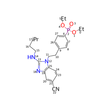 CCOP(=O)(OCC)c1ccc(CCn2c(NCCC(C)C)nc3cc(C#N)ccc32)cc1